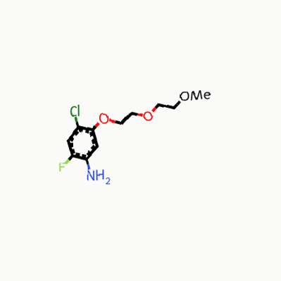 COCCOCCOc1cc(N)c(F)cc1Cl